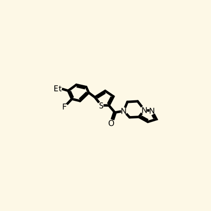 CCc1ccc(-c2ccc(C(=O)N3CCn4nccc4C3)s2)cc1F